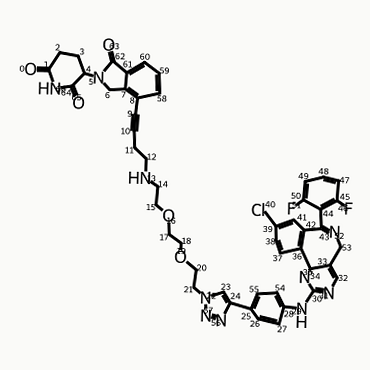 O=C1CCC(N2Cc3c(C#CCCNCCOCCOCCn4cc(-c5ccc(Nc6ncc7c(n6)-c6ccc(Cl)cc6C(c6c(F)cccc6F)=NC7)cc5)nn4)cccc3C2=O)C(=O)N1